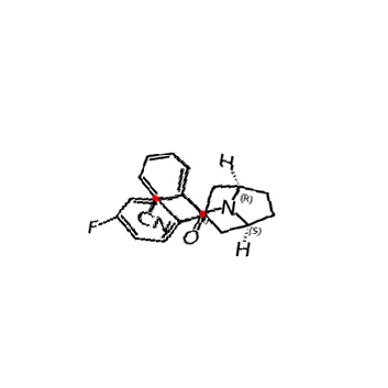 N#Cc1ccccc1C(=O)N1[C@@H]2CC[C@H]1C[C@@H](c1ccc(F)cc1)C2